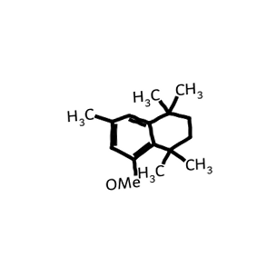 COc1cc(C)cc2c1C(C)(C)CCC2(C)C